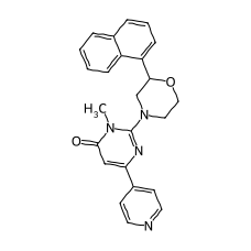 Cn1c(N2CCOC(c3cccc4ccccc34)C2)nc(-c2ccncc2)cc1=O